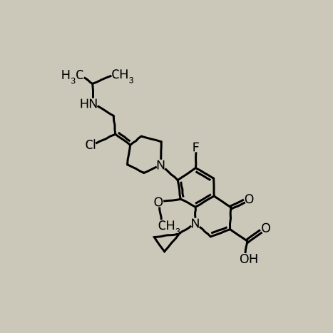 COc1c(N2CCC(=C(Cl)CNC(C)C)CC2)c(F)cc2c(=O)c(C(=O)O)cn(C3CC3)c12